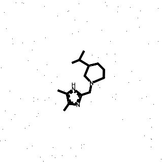 Cc1nc(CN2CCCC(C(C)C)C2)[nH]c1C